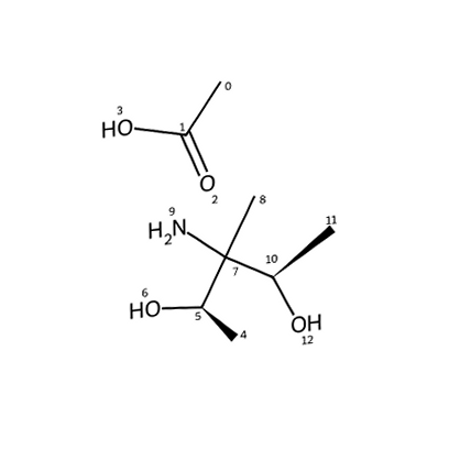 CC(=O)O.C[C@@H](O)C(C)(N)[C@@H](C)O